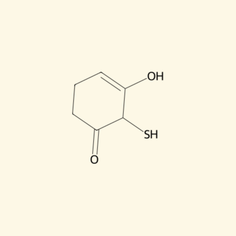 O=C1CCC=C(O)C1S